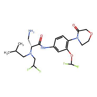 CC(C)CN(CC(F)F)[C@H](CN)C(=O)Nc1ccc(N2CCOCC2=O)c(OC(F)F)c1